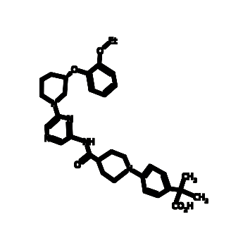 CCOc1ccccc1O[C@@H]1CCCN(c2cncc(NC(=O)C3CCN(c4ccc(C(C)(C)C(=O)O)cc4)CC3)n2)C1